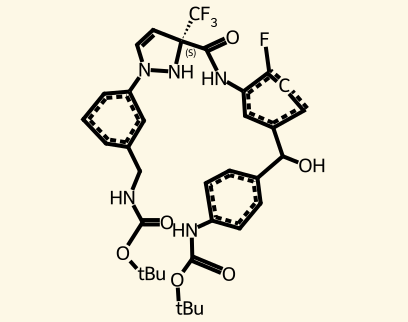 CC(C)(C)OC(=O)NCc1cccc(N2C=C[C@](C(=O)Nc3cc(C(O)c4ccc(NC(=O)OC(C)(C)C)cc4)ccc3F)(C(F)(F)F)N2)c1